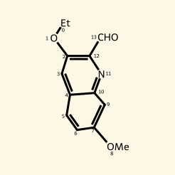 CCOc1cc2ccc(OC)cc2nc1C=O